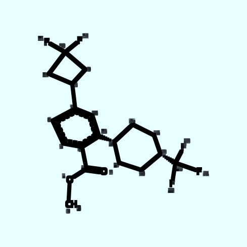 COC(=O)c1ccc(C2CC(F)(F)C2)cc1[C@H]1CC[C@@H](C(F)(F)F)CC1